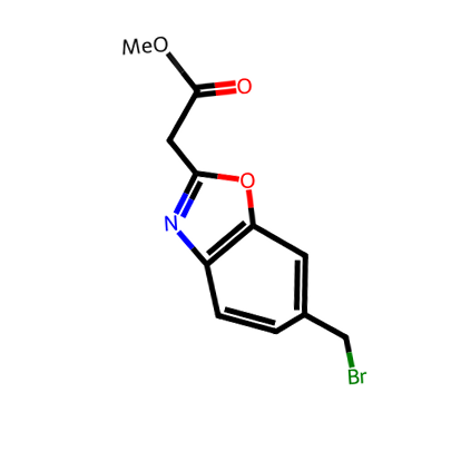 COC(=O)Cc1nc2ccc(CBr)cc2o1